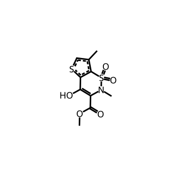 COC(=O)C1=C(O)c2scc(C)c2S(=O)(=O)N1C